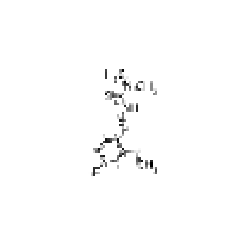 C=Cc1cc(F)ccc1/C=N/NC(=S)N(C)C